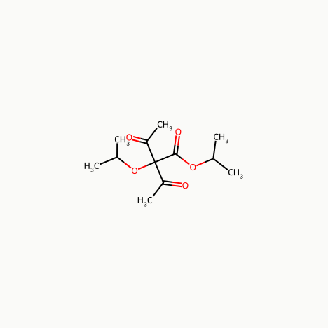 CC(=O)C(OC(C)C)(C(C)=O)C(=O)OC(C)C